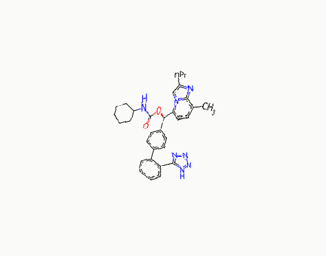 CCCc1cn2c([C@H](OC(=O)NC3CCCCC3)c3ccc(-c4ccccc4-c4nnn[nH]4)cc3)ccc(C)c2n1